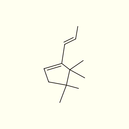 CC=CC1=CCC(C)(C)C1(C)C